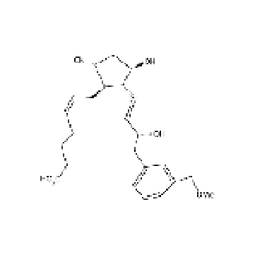 COCc1cccc(C[C@@H](O)/C=C/[C@@H]2[C@@H](C/C=C\CCCC(=O)O)[C@H](Cl)C[C@H]2O)c1